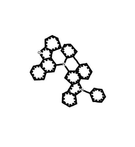 c1ccc(-c2ccccc2N(c2ccc3c(c2)c2ccccc2n3-c2ccccc2)c2cc3ccccc3c3oc4ccccc4c23)cc1